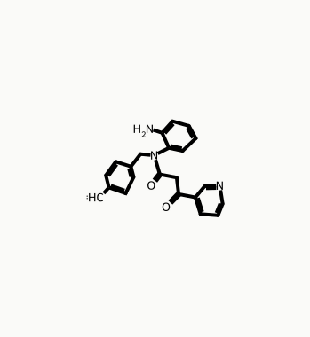 [CH]c1ccc(CN(C(=O)CC(=O)c2cccnc2)c2ccccc2N)cc1